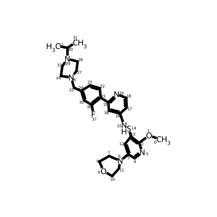 COc1ncc(N2CCOCC2)cc1SNc1ccnc(-c2ccc(CN3CCN(C(C)C)CC3)cc2F)c1